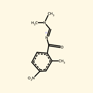 Cc1cc([N+](=O)[O-])ccc1C(=O)/N=C/N(C)C